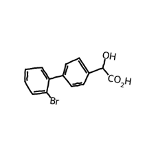 O=C(O)C(O)c1ccc(-c2ccccc2Br)cc1